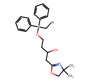 CC(C)C[Si](OCCC(O)CC1=NC(C)(C)CO1)(c1ccccc1)c1ccccc1